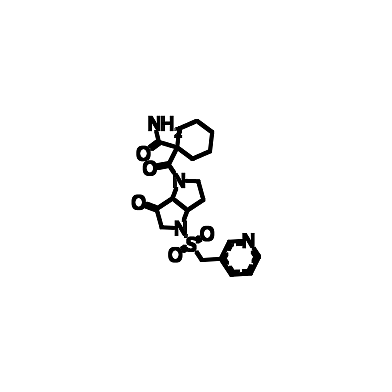 NC(=O)C1(C(=O)N2CCC3C2C(=O)CN3S(=O)(=O)Cc2cccnc2)CCCCC1